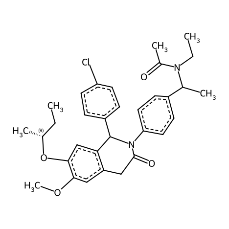 CC[C@@H](C)Oc1cc2c(cc1OC)CC(=O)N(c1ccc(C(C)N(CC)C(C)=O)cc1)C2c1ccc(Cl)cc1